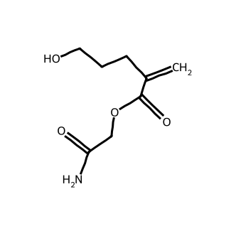 C=C(CCCO)C(=O)OCC(N)=O